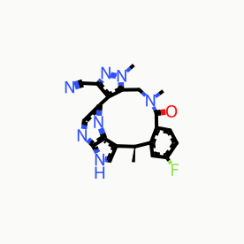 C[C@@H]1c2cc(F)ccc2C(=O)N(C)Cc2c(c(C#N)nn2C)-c2cnc3[nH]cc1c3n2